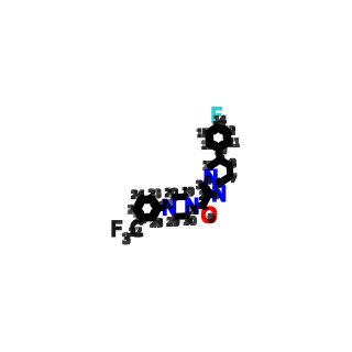 O=C(c1cn2c(n1)CCC(c1ccc(F)cc1)C2)N1CCN(c2cccc(C(F)(F)F)c2)CC1